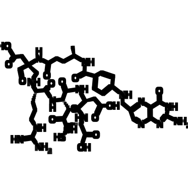 C[C@H](CCC(=O)N[C@@](C=O)(CN[C@@H](CCCNC(=N)N)C(=O)N[C@@H](CC(=O)O)C(=O)N[C@@H](CC(=O)O)C(=O)N[C@@H](CS)C(=O)O)CC(=O)O)NC(=O)c1ccc(NCc2cnc3nc(N)[nH]c(=O)c3n2)cc1